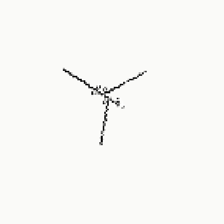 CCCCCCCCCCCCCCCCCC(=O)NCCN(CCN(CCC(N)=O)C(=O)CCCCCCCCCCCCCCCCC)C(=O)CCCCCCCCCCCCCCCCC